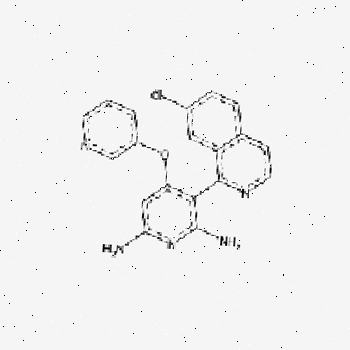 Nc1cc(Oc2cccnc2)c(-c2nccc3ccc(Cl)cc23)c(N)n1